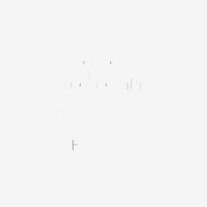 CC(C)C(Cl)OC(=O)Oc1ccc(F)cc1